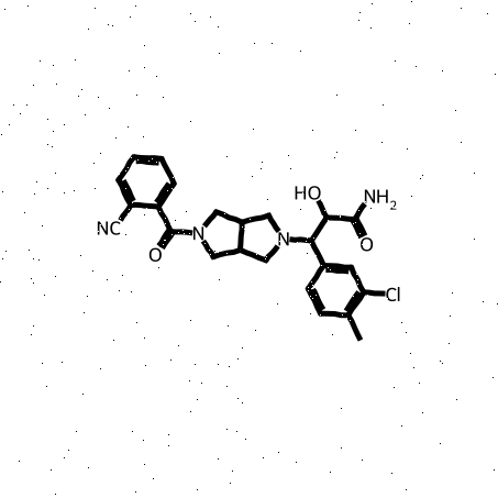 Cc1ccc(C(C(O)C(N)=O)N2CC3CN(C(=O)c4ccccc4C#N)CC3C2)cc1Cl